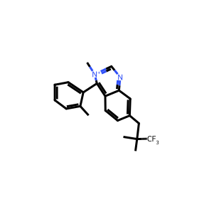 Cc1ccccc1-c1c2ccc(CC(C)(C)C(F)(F)F)cc2nc[n+]1C